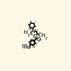 CC(CN(C)C1CCCCC1)OC(=O)c1ccc(C(C)(C)C)cc1